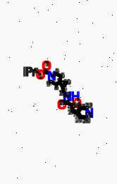 CC(C)OC(=O)N1CCC2(CC1)CC2CNC(=O)c1cc2ccncc2o1